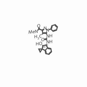 CNC(=O)c1nn(-c2ccccc2)c(NC(=O)N[C@@H]2c3ccccc3C3(CC3)[C@H]2O)c1C